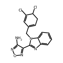 Nc1nonc1-c1nc2ccccc2n1CC1=CCC(Cl)C(Cl)=C1